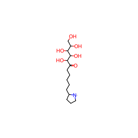 O=C(CCCCCC1CCC[N]1)C(O)C(O)C(O)C(O)CO